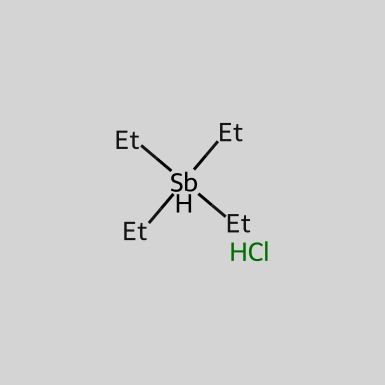 C[CH2][SbH]([CH2]C)([CH2]C)[CH2]C.Cl